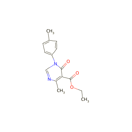 CCOC(=O)c1c(C)ncn(-c2ccc(C)cc2)c1=O